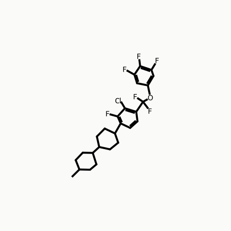 CC1CCC(C2CCC(c3ccc(C(F)(F)Oc4cc(F)c(F)c(F)c4)c(Cl)c3F)CC2)CC1